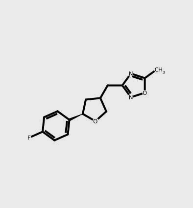 Cc1nc(CC2CO[C@@H](c3ccc(F)cc3)C2)no1